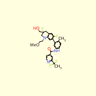 COCCN1C[C@](F)(CO)Cc2cc(F)c(-c3cc(NC(=O)c4ccnc(C(C)(F)F)c4)ccc3C)cc21